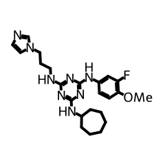 COc1ccc(Nc2nc(NCCCn3ccnc3)nc(NC3CCCCCC3)n2)cc1F